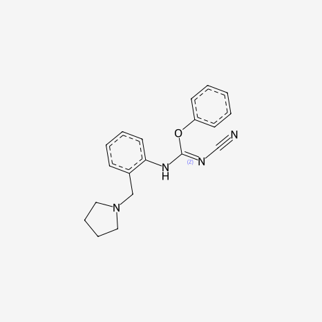 N#C/N=C(/Nc1ccccc1CN1CCCC1)Oc1ccccc1